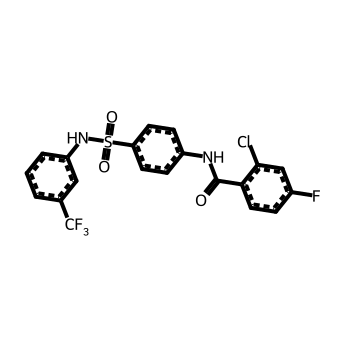 O=C(Nc1ccc(S(=O)(=O)Nc2cccc(C(F)(F)F)c2)cc1)c1ccc(F)cc1Cl